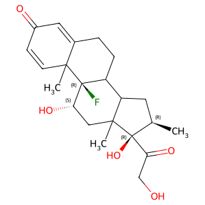 C[C@@H]1CC2C3CCC4=CC(=O)C=CC4(C)[C@@]3(F)[C@@H](O)CC2(C)[C@@]1(O)C(=O)CO